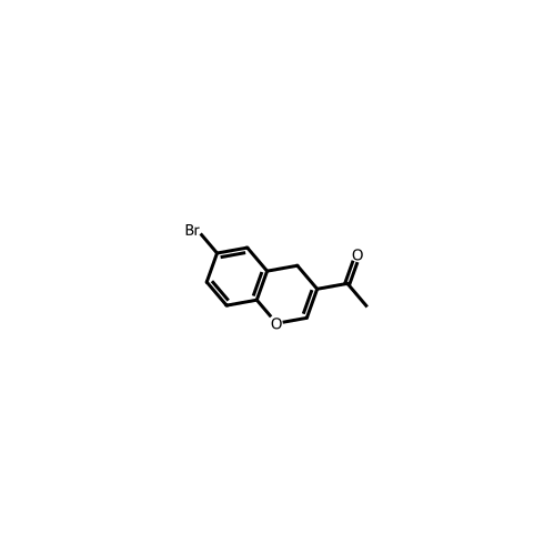 CC(=O)C1=COc2ccc(Br)cc2C1